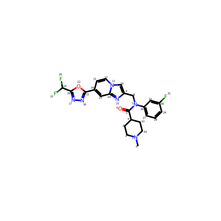 CN1CCC(C(=O)N(Cc2cn3ccc(-c4nnc(C(F)F)o4)cc3n2)c2cccc(F)c2)CC1